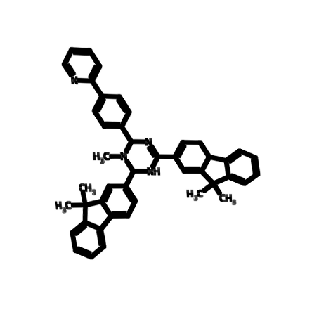 CN1C(c2ccc(-c3ccccn3)cc2)N=C(C2=CCC3C(=C2)C(C)(C)c2ccccc23)NC1c1ccc2c(c1)C(C)(C)c1ccccc1-2